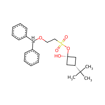 CC(C)(C)[C@H]1C[C@](O)(OS(=O)(=O)CCO[SiH](c2ccccc2)c2ccccc2)C1